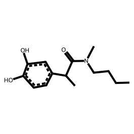 CCCCN(C)C(=O)C(C)c1ccc(O)c(O)c1